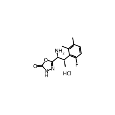 Cc1ccc(F)c([C@@H](C)[C@H](N)c2n[nH]c(=O)o2)c1C.Cl